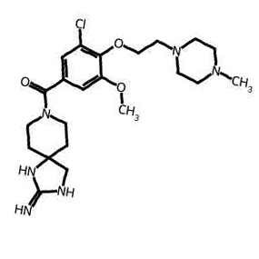 COc1cc(C(=O)N2CCC3(CC2)CNC(=N)N3)cc(Cl)c1OCCN1CCN(C)CC1